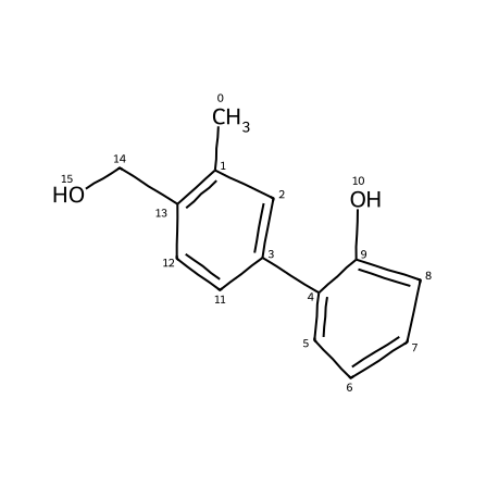 Cc1cc(-c2ccccc2O)ccc1CO